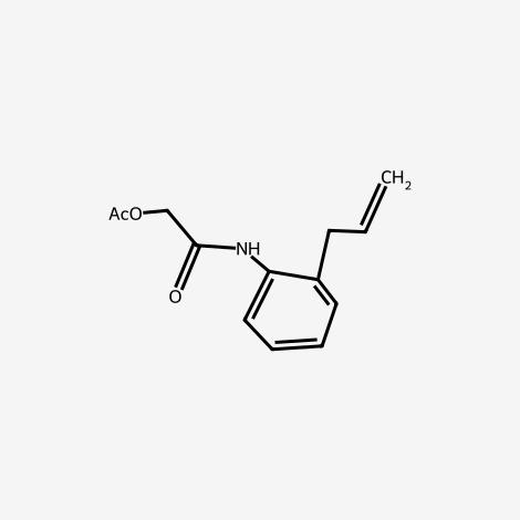 C=CCc1ccccc1NC(=O)COC(C)=O